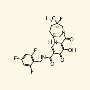 C[C@]1(F)CC[C@H]2CN(C1)C(=O)c1c(O)c(=O)c(C(=O)NCc3c(F)cc(F)cc3F)cn12